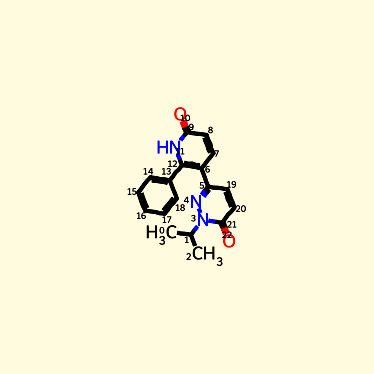 CC(C)n1nc(-c2ccc(=O)[nH]c2-c2ccccc2)ccc1=O